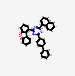 c1ccc(-c2ccc(-c3nc(-c4cccc5ccccc45)nc(-c4cccc5oc6ccccc6c45)n3)cc2)cc1